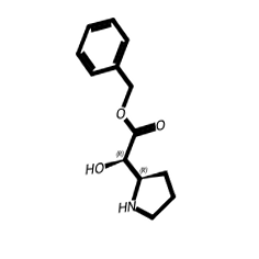 O=C(OCc1ccccc1)[C@H](O)[C@H]1CCCN1